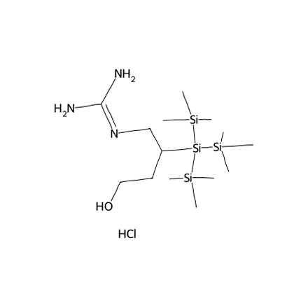 C[Si](C)(C)[Si](C(CCO)CN=C(N)N)([Si](C)(C)C)[Si](C)(C)C.Cl